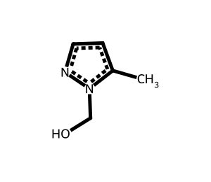 Cc1ccnn1CO